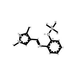 Cc1nn(C)cc1C=Nc1ccccc1O[Si](C)(C)C